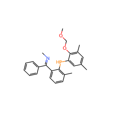 C/N=C(\c1ccccc1)c1cccc(C)c1Pc1cc(C)cc(C)c1OCOC